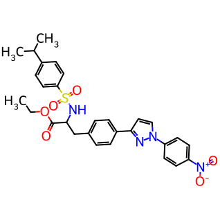 CCOC(=O)C(Cc1ccc(-c2ccn(-c3ccc([N+](=O)[O-])cc3)n2)cc1)NS(=O)(=O)c1ccc(C(C)C)cc1